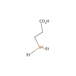 CC[SH](CC)CCC(=O)O